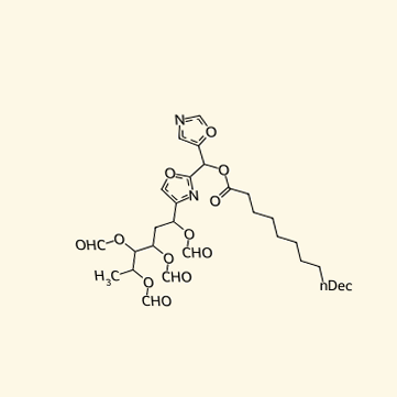 CCCCCCCCCCCCCCCCCC(=O)OC(c1cnco1)c1nc(C(CC(OC=O)C(OC=O)C(C)OC=O)OC=O)co1